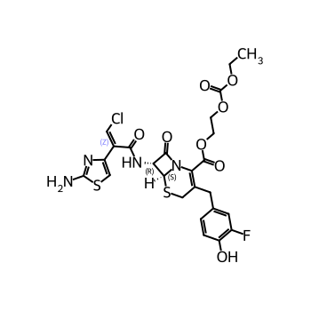 CCOC(=O)OCCOC(=O)C1=C(Cc2ccc(O)c(F)c2)CS[C@H]2[C@H](NC(=O)/C(=C\Cl)c3csc(N)n3)C(=O)N12